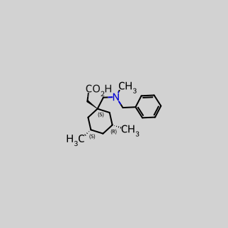 C[C@@H]1C[C@H](C)C[C@](CC(=O)O)(CN(C)Cc2ccccc2)C1